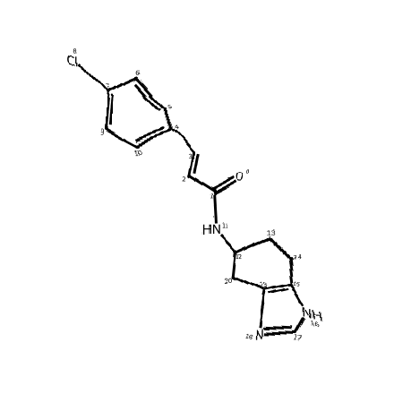 O=C(/C=C/c1ccc(Cl)cc1)NC1CCc2[nH]cnc2C1